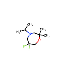 CC(C)N1CC(F)(F)COC(C)(C)C1